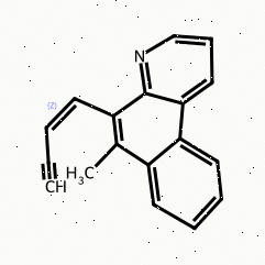 C#C/C=C\c1c(C)c2ccccc2c2cccnc12